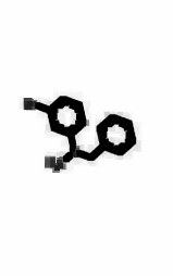 CN(Cc1ccccc1)c1[c]ccc(Br)c1